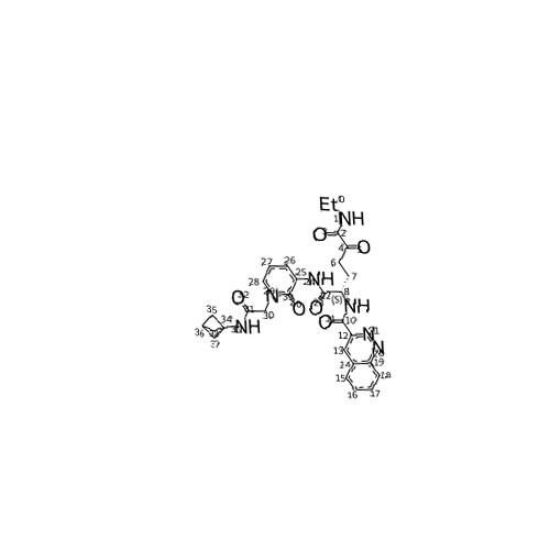 CCNC(=O)C(=O)CC[C@H](NC(=O)c1cc2ccccc2nn1)C(=O)Nc1cccn(CC(=O)NC23CC(C2)C3)c1=O